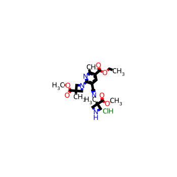 CCOC(=O)c1cc(C#N)c(N2CC(C)(C(=O)OC)C2)nc1C.COC(=O)C1(C)CNC1.Cl